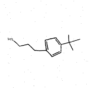 CC(C)(C)c1ccc(CCCS)cc1